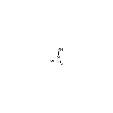 O.SS.[W]